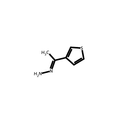 CC(=NN)c1ccsc1